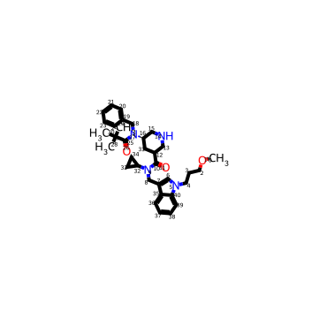 COCCCn1cc(CN(C(=O)C2CNC[C@@H](N(Cc3ccccc3)C(=O)C(C)(C)C)C2)C2CC2)c2ccccc21